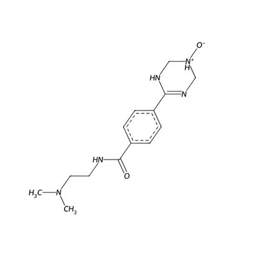 CN(C)CCNC(=O)c1ccc(C2=NC[NH+]([O-])CN2)cc1